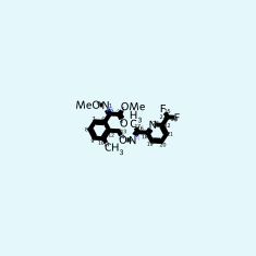 CO/N=C(/C(=O)OC)c1cccc(C)c1CO/N=C(\C)c1cccc(C(F)F)n1